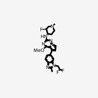 COc1nc(N[C@H]2CCN(C)C[C@@H]2F)nn2ccc(-c3ccc4nc(C)n(CC(F)F)c4c3)c12